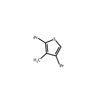 Cc1c(C(C)C)csc1C(C)C